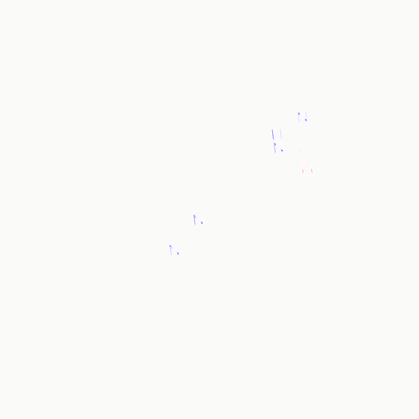 O=C(Nc1ccc(CCN2CCN(c3ccccc3)CC2)cc1)c1ccccn1